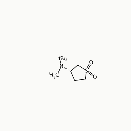 CN([C@H]1CCS(=O)(=O)C1)C(C)(C)C